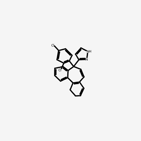 Clc1ccc(C2(c3cc[nH]n3)C=CC3=C(CCC=C3)c3ccccc32)c(Cl)c1